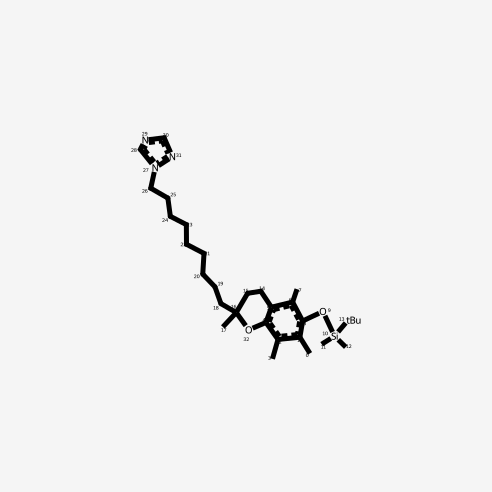 Cc1c(C)c2c(c(C)c1O[Si](C)(C)C(C)(C)C)CCC(C)(CCCCCCCCCn1cncn1)O2